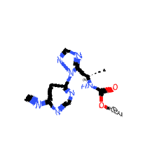 C=Nc1cc(-n2ncnc2[C@H](C)NC(=O)OC(C)(C)C)ncn1